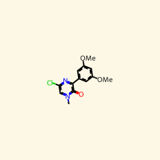 COc1cc(OC)cc(-c2nc(Cl)cn(C)c2=O)c1